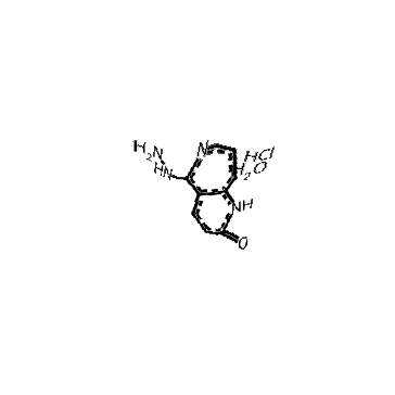 Cl.NNc1nccc2[nH]c(=O)ccc12.O